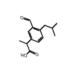 CC(C)Cc1ccc(C(C)C(=O)O)cc1C=O